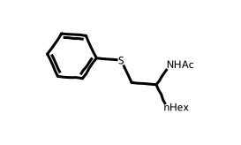 CCCCCCC(CSc1ccccc1)NC(C)=O